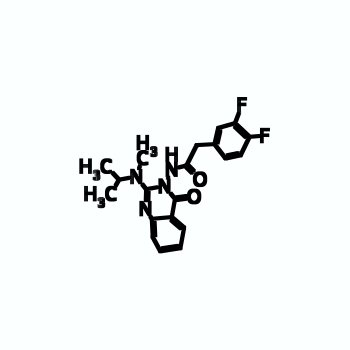 CC(C)N(C)c1nc2ccccc2c(=O)n1NC(=O)Cc1ccc(F)c(F)c1